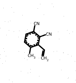 C=Cc1c(C)ccc(C#N)c1C#N